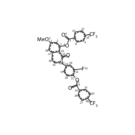 COc1cc(OC(=O)c2ccc(C(F)(F)F)cc2)c2c(=O)n(-c3ccc(OC(=O)c4ccc(C(F)(F)F)cc4)c(F)c3)ccc2c1